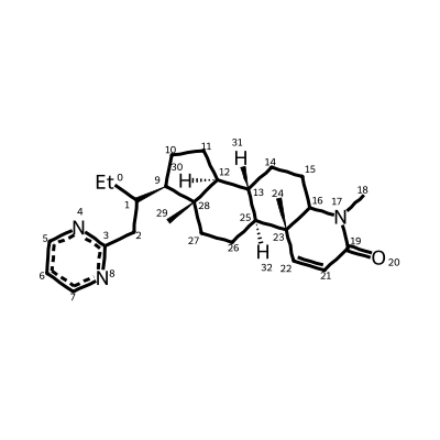 CCC(Cc1ncccn1)[C@H]1CC[C@H]2[C@@H]3CCC4N(C)C(=O)C=C[C@]4(C)[C@H]3CC[C@]12C